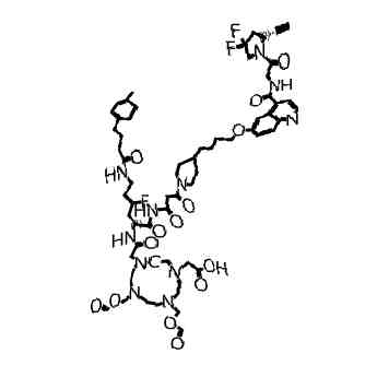 C#C[C@H]1CC(F)(F)CN1C(=O)CNC(=O)c1ccnc2ccc(OCCCCC3CCN(C(=O)CC(=O)NC(=O)[C@H](CC(F)CCNC(=O)CCCc4ccc(C)cc4)NC(=O)CN4CCN(COC=O)CCN(COC=O)CCN(CC(=O)O)CC4)CC3)cc12